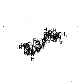 COC(=O)N[C@H](C(=O)N1CCC[C@H]1c1nc(-c2ccc([C@@H]3CC[C@@H](c4ccc(-c5c[nH]c([C@@H]6CCCN6C(=O)[C@@H](NC(=O)O)C(C)(C)C)n5)cc4)N3c3ccc(F)cc3)cc2)c[nH]1)C(C)(C)C